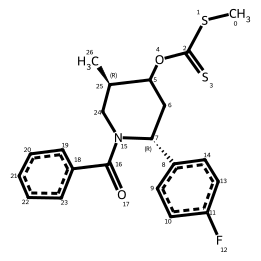 CSC(=S)OC1C[C@H](c2ccc(F)cc2)N(C(=O)c2ccccc2)C[C@H]1C